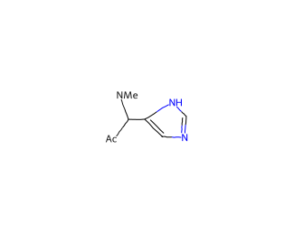 CNC(C(C)=O)c1cnc[nH]1